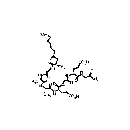 CCCCCCCCCCCCCCCC(=O)N[C@@H](C)C(=O)NCC(=O)N[C@@H](C)C(=O)N[C@@H](C)C(=O)N[C@@H](CCC(=O)O)C(=O)NCC(=O)N[C@@H](CCC(=O)O)C(=O)NCC(N)=O